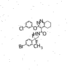 Cc1cc(Br)ccc1C(F)(F)CNC(=O)c1c(Oc2cccc(Cl)c2)nnc2c1CCCC2